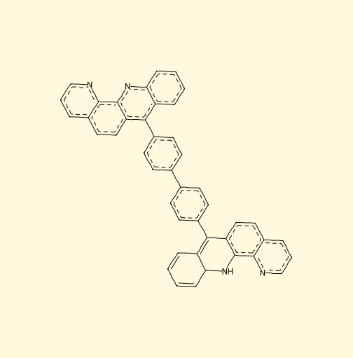 C1=CC2=C(c3ccc(-c4ccc(-c5c6ccccc6nc6c5ccc5cccnc56)cc4)cc3)c3ccc4cccnc4c3NC2C=C1